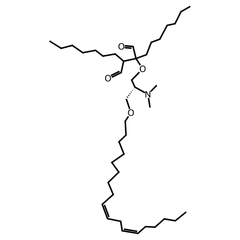 CCCCC/C=C\C/C=C\CCCCCCCCOC[C@H](COC(C=O)(CCCCCCC)C(C=O)CCCCCCC)N(C)C